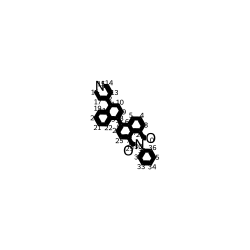 O=C1c2cccc3c(C4=CCC(c5ccncc5)c5ccccc54)ccc(c23)C(=O)N1c1ccccc1